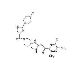 Nc1nc(N)c(C(=O)/N=C2\NCC3(CCN(C(=O)c4csc(-c5ccc(Cl)cc5)n4)CC3)N2)nc1Cl